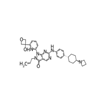 C=CCn1c(=O)c2cnc(Nc3ccc([C@H]4CC[C@H](N5CCC5)CC4)cc3)nc2n1-c1cccc(C2(O)COC2)n1